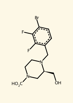 O=C(O)N1CCN(Cc2ccc(Br)c(F)c2F)[C@@H](CO)C1